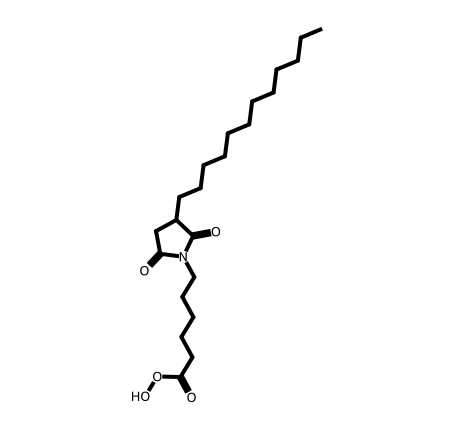 CCCCCCCCCCCCC1CC(=O)N(CCCCCC(=O)OO)C1=O